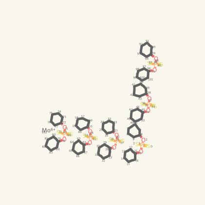 S=P([S-])(OC1CCCCC1)OC1CCCCC1.S=P([S-])(OC1CCCCC1)OC1CCCCC1.S=P([S-])(OC1CCCCC1)OC1CCCCC1.S=P([S-])(OC1CCCCC1)OC1CCCCC1.S=P([S-])(OC1CCCCC1)OC1CCCCC1.S=P([S-])(OC1CCCCC1)OC1CCCCC1.[Mo+6]